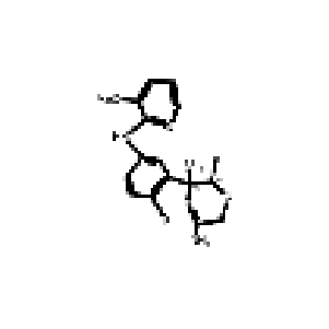 COc1cccnc1Nc1ccc(F)c([C@@]2(C)N=C(N)CO[C@@H]2F)c1